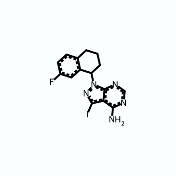 Nc1ncnc2c1c(I)nn2C1CCCc2ccc(F)cc21